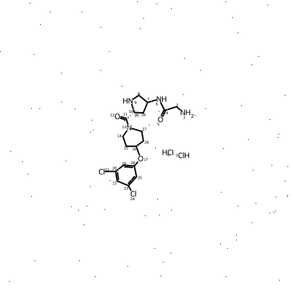 Cl.Cl.NCC(=O)NC1CN[C@@H](C(=O)N2CCC(Oc3cc(Cl)cc(Cl)c3)CC2)C1